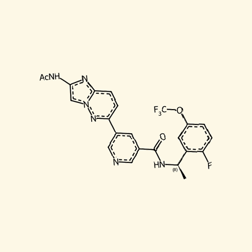 CC(=O)Nc1cn2nc(-c3cncc(C(=O)N[C@H](C)c4cc(OC(F)(F)F)ccc4F)c3)ccc2n1